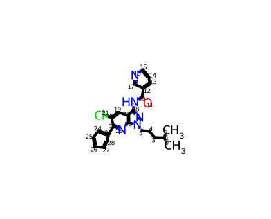 CC(C)CCCn1nc(NC(=O)c2cccnc2)c2cc(Cl)c(-c3cc[c]cc3)nc21